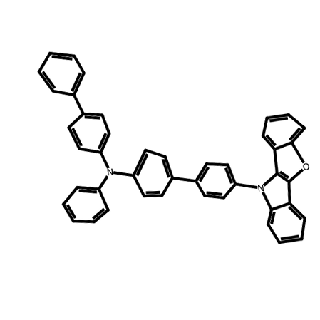 c1ccc(-c2ccc(N(c3ccccc3)c3ccc(-c4ccc(-n5c6ccccc6c6oc7ccccc7c65)cc4)cc3)cc2)cc1